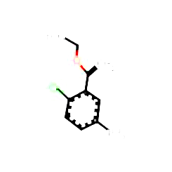 Bc1ccc(Cl)c(C(=C)OCC)c1